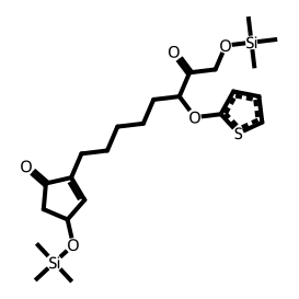 C[Si](C)(C)OCC(=O)C(CCCCCC1=CC(O[Si](C)(C)C)CC1=O)Oc1cccs1